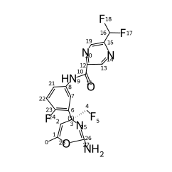 CC1=C[C@@](CF)(c2cc(NC(=O)c3cnc(C(F)F)cn3)ccc2F)N=C(N)O1